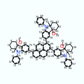 COC12CCCCC1(C)N(c1ccccc1)c1cc(-c3ccc4ccc5c(-c6ccc7c(c6)C6(OC)CCCCC6(C)N7c6ccccc6)cc(-c6ccc7c(c6)C6(OC)CCCCC6(C)N7c6ccccc6)c6ccc3c4c56)ccc12